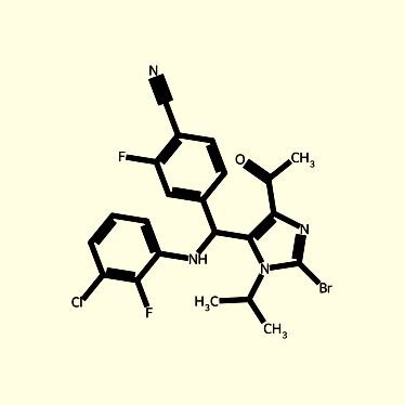 CC(=O)c1nc(Br)n(C(C)C)c1C(Nc1cccc(Cl)c1F)c1ccc(C#N)c(F)c1